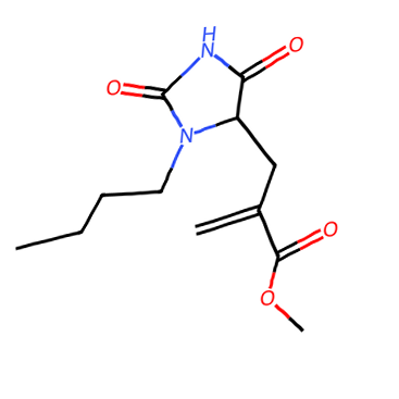 C=C(CC1C(=O)NC(=O)N1CCCC)C(=O)OC